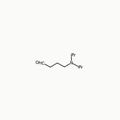 CC(C)N(CCCC=O)C(C)C